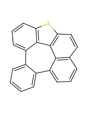 c1ccc2c(c1)-c1cccc3ccc4sc5cccc-2c5c4c13